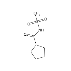 CS(=O)(=O)NC(=O)C1CCCC1